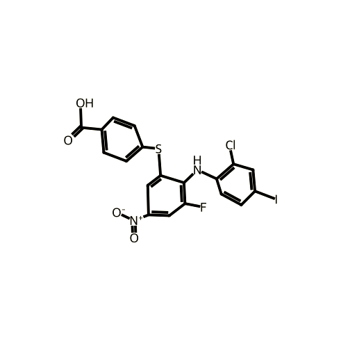 O=C(O)c1ccc(Sc2cc([N+](=O)[O-])cc(F)c2Nc2ccc(I)cc2Cl)cc1